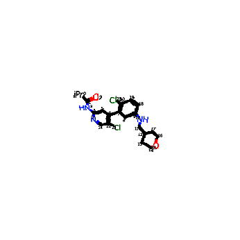 CC(C)C(=O)Nc1cc(-c2cc(NCC3CCOCC3)ccc2Cl)c(Cl)cn1